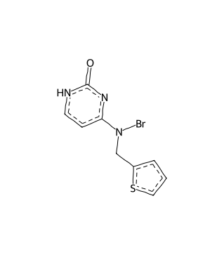 O=c1nc(N(Br)Cc2cccs2)cc[nH]1